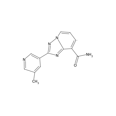 Cc1cncc(-c2nc3c(C(N)=O)[c]ccn3n2)c1